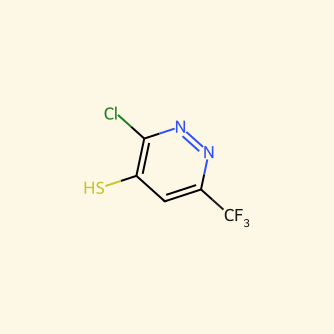 FC(F)(F)c1cc(S)c(Cl)nn1